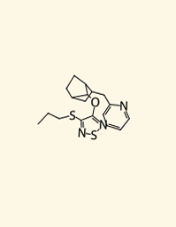 CCCSc1nsnc1OC1C2CCC1C(Cc1ccccn1)C2